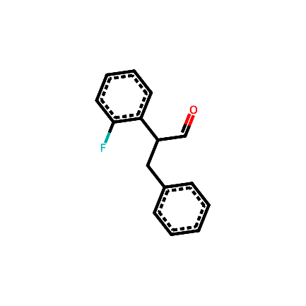 O=CC(Cc1ccccc1)c1ccccc1F